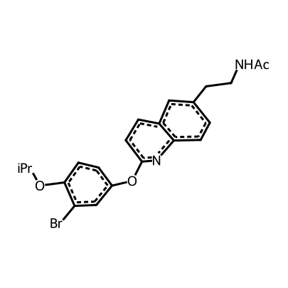 CC(=O)NCCc1ccc2nc(Oc3ccc(OC(C)C)c(Br)c3)ccc2c1